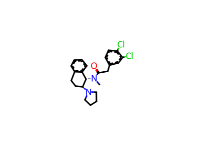 CN(C(=O)Cc1ccc(Cl)c(Cl)c1)[C@H]1c2ccccc2CC[C@@H]1N1CCCC1